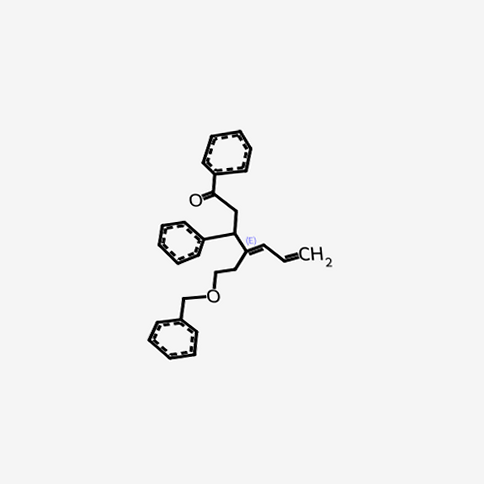 C=C/C=C(\CCOCc1ccccc1)C(CC(=O)c1ccccc1)c1ccccc1